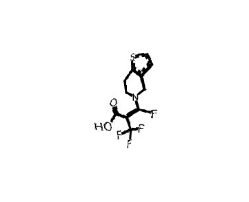 O=C(O)/C(=C(/F)N1CCc2sccc2C1)C(F)(F)F